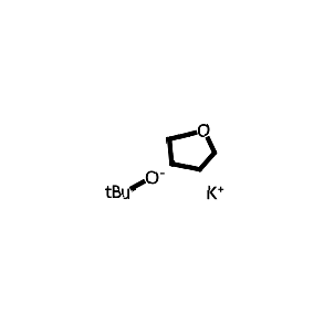 C1CCOC1.CC(C)(C)[O-].[K+]